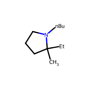 CCCCN1CCCC1(C)CC